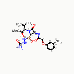 C=C(C)C(C(=O)OC)N1C(=O)C(NC(=O)COc2cccc([N+](=O)[O-])c2)C1[S+]([O-])NNC(N)=O